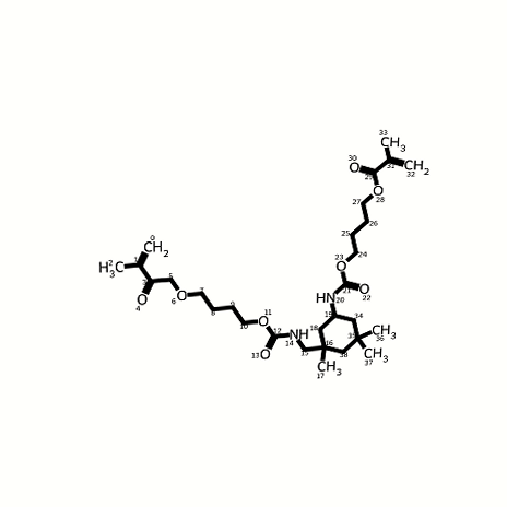 C=C(C)C(=O)COCCCCOC(=O)NCC1(C)CC(NC(=O)OCCCCOC(=O)C(=C)C)CC(C)(C)C1